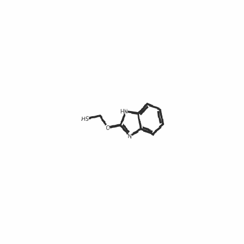 SCOc1nc2ccccc2[nH]1